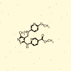 COC(=O)c1ccc(Nc2snc(C)c2CNc2ccc(OC)nc2)nc1